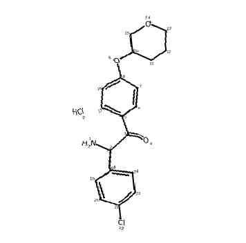 Cl.NC(C(=O)c1ccc(OC2CCCOC2)cc1)c1ccc(Cl)cc1